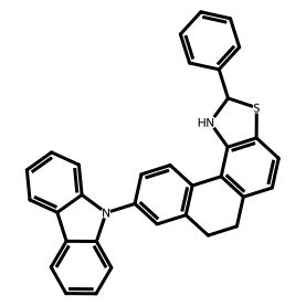 c1ccc(C2Nc3c(ccc4c3-c3ccc(-n5c6ccccc6c6ccccc65)cc3CC4)S2)cc1